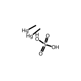 O=S(=O)(O)O.[CH3][Hg].[CH3][Hg]